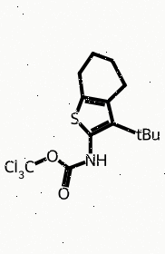 CC(C)(C)c1c(NC(=O)OC(Cl)(Cl)Cl)sc2c1CCCC2